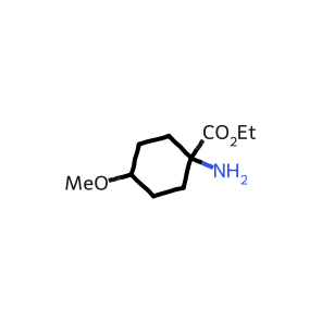 CCOC(=O)C1(N)CCC(OC)CC1